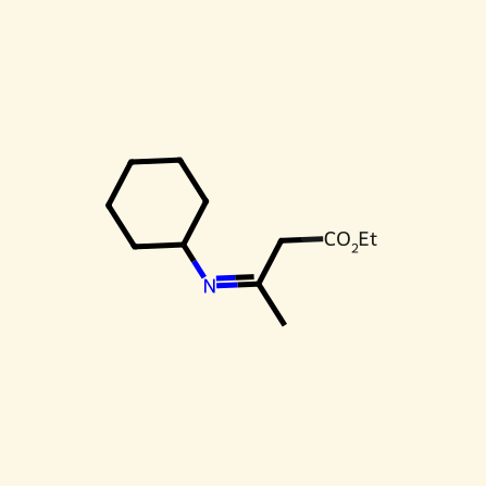 CCOC(=O)C/C(C)=N\C1CCCCC1